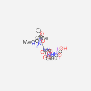 COc1ccc(N(C(=O)C(N)CCCCNC(=O)CCC(NC(=O)C(Cc2cc(I)c(Oc3ccc(O)c(I)c3)c(I)c2)NC(=O)OC(C)(C)C)C(=O)OCC(C)C)c2ccc(OC3CCCCCCC3)cc2)c(OC)c1